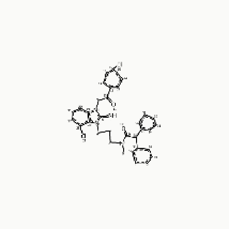 CN(CCCn1c(=N)n(CC(=O)c2ccc(Cl)cc2)c2cccc(Cl)c21)C(=O)C(c1ccccc1)c1ccccc1